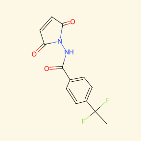 CC(F)(F)c1ccc(C(=O)NN2C(=O)C=CC2=O)cc1